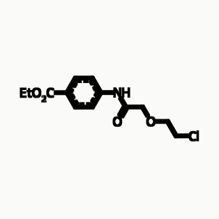 CCOC(=O)c1ccc(NC(=O)COCCCl)cc1